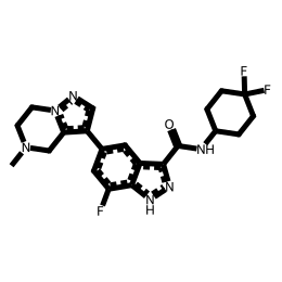 CN1CCn2ncc(-c3cc(F)c4[nH]nc(C(=O)NC5CCC(F)(F)CC5)c4c3)c2C1